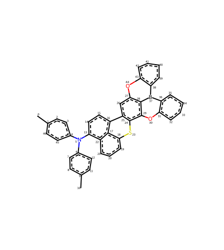 Cc1ccc(N(c2ccc(C)cc2)c2ccc3c4c(cccc24)Sc2c-3cc3c4c2Oc2ccccc2B4c2ccccc2O3)cc1